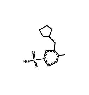 Cc1ccc(S(=O)(=O)O)cc1CC1CCCC1